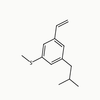 C=Cc1cc(CC(C)C)cc(SC)c1